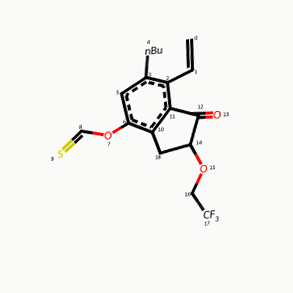 C=Cc1c(CCCC)cc(OC=S)c2c1C(=O)C(OCC(F)(F)F)C2